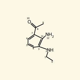 CCNc1cccc(C(C)=O)c1N